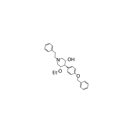 CCO[C@@H]1CN(CCc2ccccc2)C[C@H](O)[C@H]1c1ccc(OCc2ccccc2)cc1